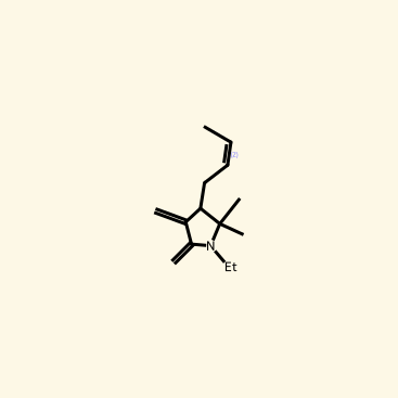 C=C1C(=C)N(CC)C(C)(C)C1C/C=C\C